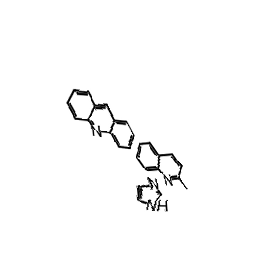 Cc1ccc2ccccc2n1.c1c[nH]cn1.c1ccc2nc3ccccc3cc2c1